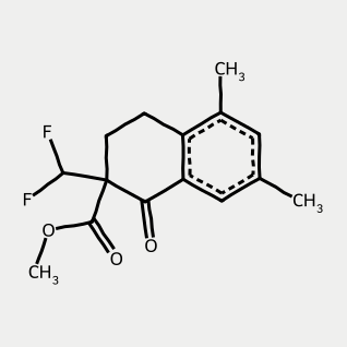 COC(=O)C1(C(F)F)CCc2c(C)cc(C)cc2C1=O